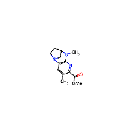 COC(=O)c1nc2c(cc1C)N1CCC(C1)N2C